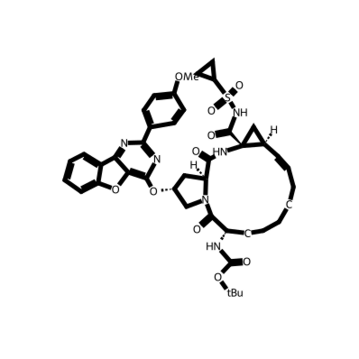 COc1ccc(-c2nc(O[C@@H]3C[C@H]4C(=O)N[C@]5(C(=O)NS(=O)(=O)C6CC6)C[C@H]5/C=C\CCCCC[C@H](NC(=O)OC(C)(C)C)C(=O)N4C3)c3oc4ccccc4c3n2)cc1